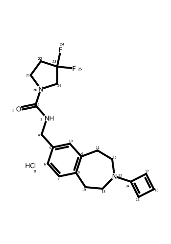 Cl.O=C(NCc1ccc2c(c1)CCN(C1=CC=C1)CC2)N1CCC(F)(F)C1